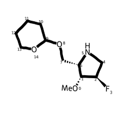 CO[C@H]1[C@H](F)CN[C@H]1COC1CCCCO1